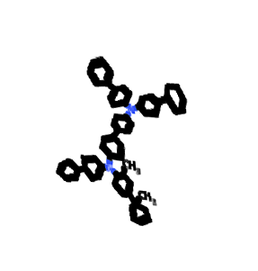 Cc1cc(C2(C)C=CC=CC2)ccc1N(c1ccc(-c2ccccc2)cc1)c1ccc(-c2ccc(N(c3ccc(C4=CC=CCC4)cc3)c3ccc(-c4ccccc4)cc3)cc2)cc1